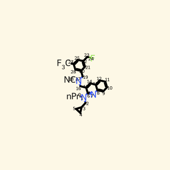 CCCN(CC1CC1)c1nc2ccccc2cc1CN(C#N)Cc1cc(CF)cc(C(F)(F)F)c1